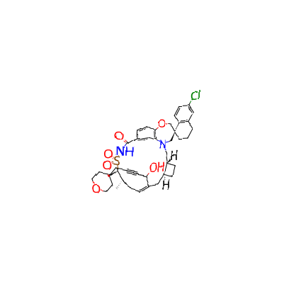 C[C@@H]1[C@@H](C)C/C=C(\C(O)C#CCC2CCOCC2)C[C@@H]2CC[C@H]2CN2C[C@@]3(CCCc4cc(Cl)ccc43)COc3ccc(cc32)C(=O)NS1(=O)=O